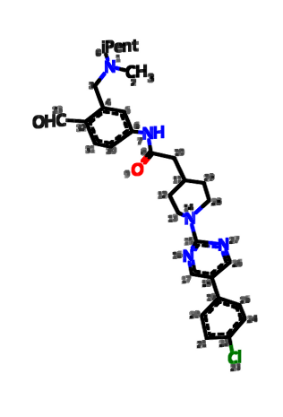 CCCC(C)N(C)Cc1cc(NC(=O)CC2CCN(c3ncc(-c4ccc(Cl)cc4)cn3)CC2)ccc1C=O